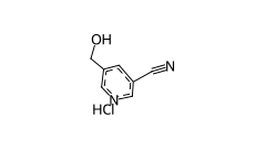 Cl.N#Cc1cncc(CO)c1